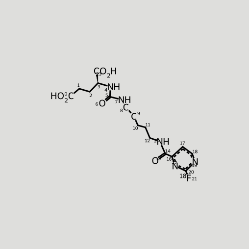 O=C(O)CC[C@H](NC(=O)NCCCCCNC(=O)c1ccnc([18F])n1)C(=O)O